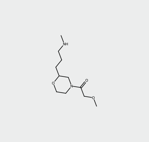 CNCCCC1CN(C(=O)COC)CCO1